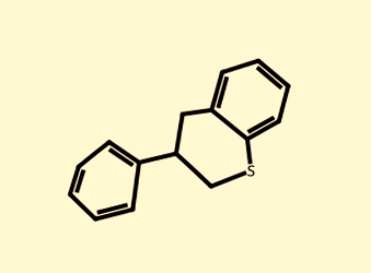 c1ccc(C2CSc3ccccc3C2)cc1